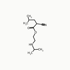 CC(C)CC(C#N)C(=O)OCCNC(C)C